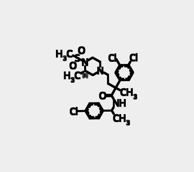 CC(NC(=O)C(C)(CCN1CCN(S(C)(=O)=O)[C@H](C)C1)c1ccc(Cl)c(Cl)c1)c1ccc(Cl)cc1